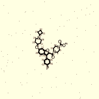 COC(=O)N1CCN(C(=O)c2oc3cc(OC4CCN(C5CCC5)CC4)ccc3c2-c2ccc(F)cc2)CC1